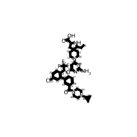 CCC1NC(C(=O)O)CC12CCN(c1cc(O[C@H](c3ccc(Cl)cc3-c3cccc(C(=O)N4CCN(C5CC5)CC4)c3)C(F)(F)F)nc(N)n1)CC2